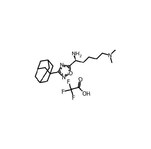 CN(C)CCCC[C@H](N)c1nc(C23CC4CC(CC(C4)C2)C3)no1.O=C(O)C(F)(F)F